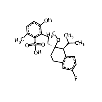 CO[C@]1(CCc2c(O)ccc(C)c2S(=O)(=O)O)CCc2cc(F)ccc2[C@@H]1C(C)C